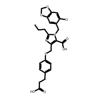 CCCc1nc(CSc2ccc(CCC(=O)O)cc2)c(C(=O)O)n1Cc1cc2c(cc1Cl)OCO2